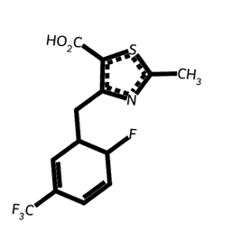 Cc1nc(CC2C=C(C(F)(F)F)C=CC2F)c(C(=O)O)s1